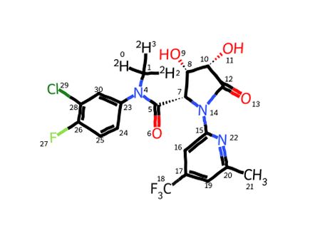 [2H]C([2H])([2H])N(C(=O)[C@@H]1[C@H](O)[C@H](O)C(=O)N1c1cc(C(F)(F)F)cc(C)n1)c1ccc(F)c(Cl)c1